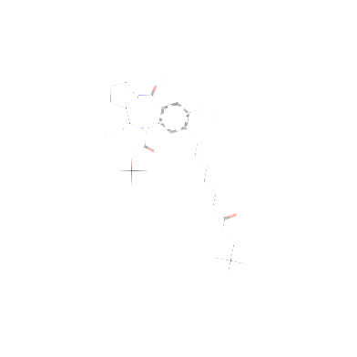 COc1cc2c(cc1OCCCCCC(=O)OCC(Cl)(Cl)Cl)N(C(=O)OC(C)(C)C)[C@@H](O)C1CCCN1C2=O